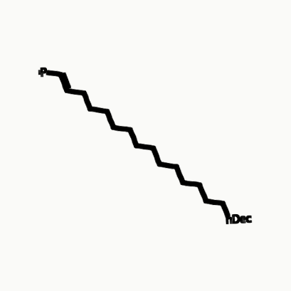 CCCCCCCCCCCCCCCCCCCCCCC/C=C/[P]